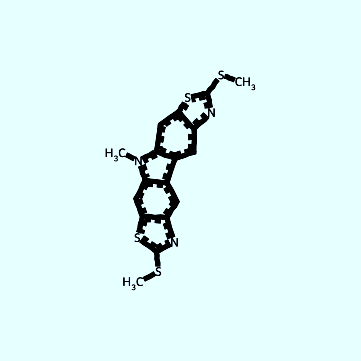 CSc1nc2cc3c4cc5nc(SC)sc5cc4n(C)c3cc2s1